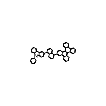 c1ccc(-n2c3ccccc3c3cc(-c4cccc5c(-c6ccc7c(c6)c6ccccc6c6c8ccccc8c8ccccc8c76)cccc45)ccc32)cc1